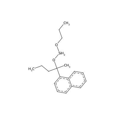 CCCO[SiH2]OC(C)(CCC)c1cccc2ccccc12